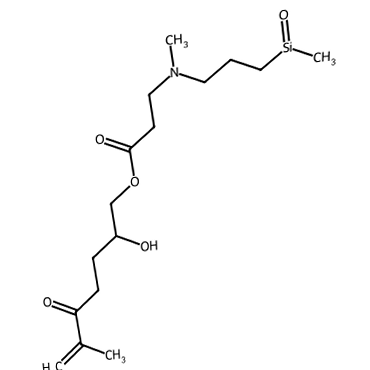 C=C(C)C(=O)CCC(O)COC(=O)CCN(C)CCC[Si](C)=O